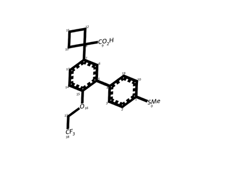 CSc1ccc(-c2cc(C3(C(=O)O)CCC3)ccc2OCC(F)(F)F)cc1